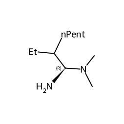 CCCCCC(CC)[C@H](N)N(C)C